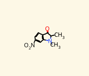 CC1C(=O)c2ccc([N+](=O)[O-])cc2N1C